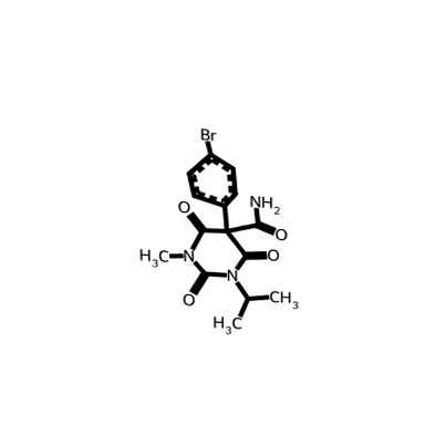 CC(C)N1C(=O)N(C)C(=O)C(C(N)=O)(c2ccc(Br)cc2)C1=O